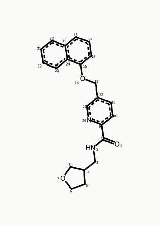 O=C(NCC1CCOC1)c1ccc(COc2cccc3ccccc23)cn1